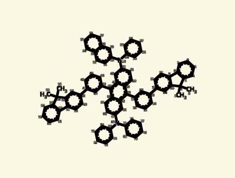 CC1(C)c2ccccc2-c2ccc(-c3cccc(-c4c5ccc(N(c6ccccc6)c6ccc7ccccc7c6)cc5c(-c5cccc(-c6ccc7c(c6)C(C)(C)c6ccccc6-7)c5)c5ccc(N(c6ccccc6)c6ccccc6)cc45)c3)cc21